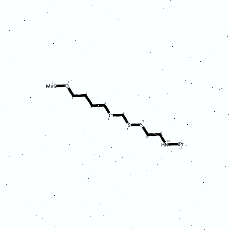 CSOCCCCOCSSCCNC(C)C